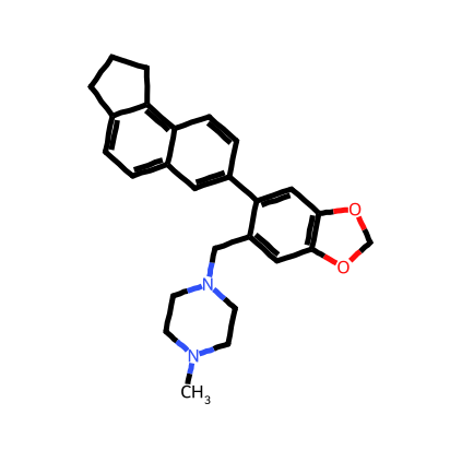 CN1CCN(Cc2cc3c(cc2-c2ccc4c5c(ccc4c2)CCC5)OCO3)CC1